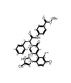 CC(C)(C)OC(=O)c1ccc(NC(=O)[C@H](Cc2ccccc2)n2cnc(-c3c(N4C=C(Cl)NN4)ccc(Cl)c3F)cc2=O)cc1